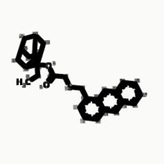 CCC1(OC(=O)CSCc2cccc3cc4ccccc4cc23)C2CC3CC(C2)CC1C3